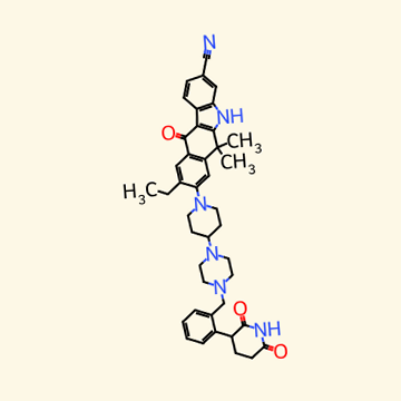 CCc1cc2c(cc1N1CCC(N3CCN(Cc4ccccc4C4CCC(=O)NC4=O)CC3)CC1)C(C)(C)c1[nH]c3cc(C#N)ccc3c1C2=O